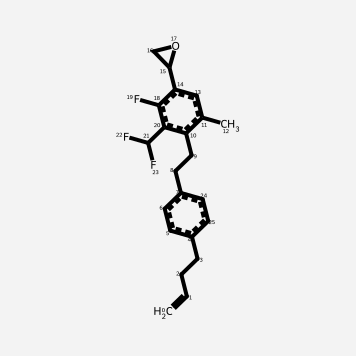 C=CCCc1ccc(CCc2c(C)cc(C3CO3)c(F)c2C(F)F)cc1